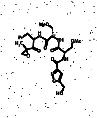 COCC(NC(=O)c1cc(CO)on1)C(=O)N[C@@H](COC)C(=O)NC(CC(C)C)C(=O)C1(C)CO1